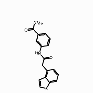 CNC(=O)c1cccc(NC(=O)Cc2cccc3sccc23)c1